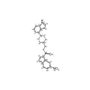 O=C(CCN1CCN(c2cccc3[nH]ccc23)CC1)c1csc2ccc([N+](=O)[O-])cc12